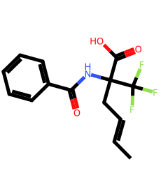 C/C=C/CC(NC(=O)c1ccccc1)(C(=O)O)C(F)(F)F